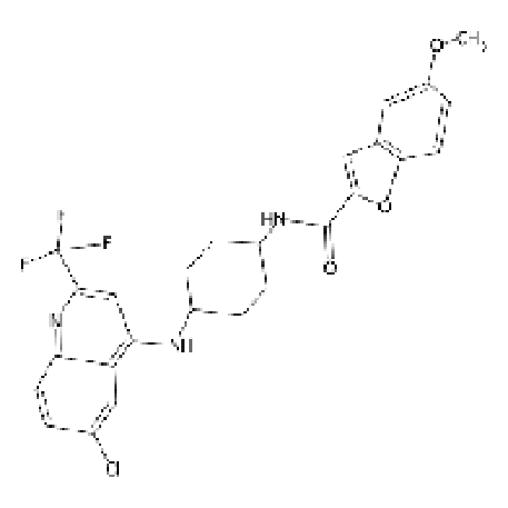 COc1ccc2oc(C(=O)NC3CCC(Nc4cc(C(F)(F)F)nc5ccc(Cl)cc45)CC3)cc2c1